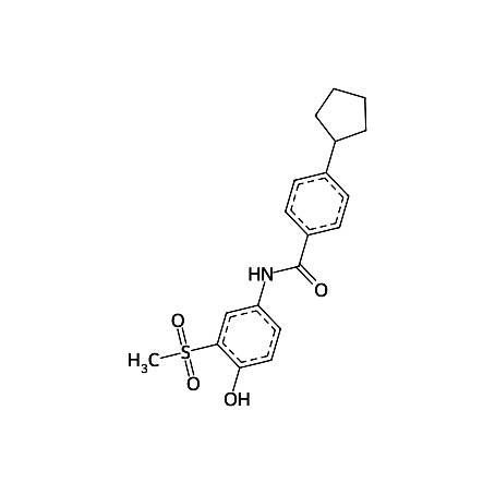 CS(=O)(=O)c1cc(NC(=O)c2ccc(C3CCCC3)cc2)ccc1O